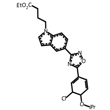 CCOC(=O)CCCn1ccc2cc(-c3noc(C4=CC(Cl)C(OC(C)C)C=C4)n3)ccc21